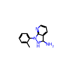 Cc1ccccc1N1NC(N)c2cccnc21